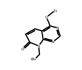 CCOc1ncnc2c1ccc(=O)n2CC(C)(C)C